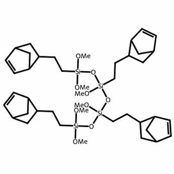 CO[Si](CCC1CC2C=CC1C2)(OC)O[Si](CCC1CC2C=CC1C2)(OC)O[Si](CCC1CC2C=CC1C2)(OC)O[Si](CCC1CC2C=CC1C2)(OC)OC